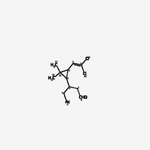 CC(=O)CC(CC=O)C1C(C=C(Cl)Cl)C1(C)C